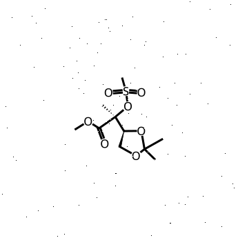 COC(=O)[C@@](C)(OS(C)(=O)=O)[C@@H]1COC(C)(C)O1